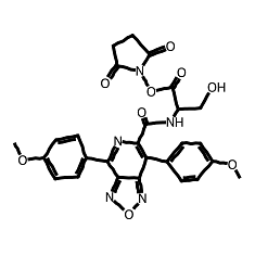 COc1ccc(-c2nc(C(=O)NC(CO)C(=O)ON3C(=O)CCC3=O)c(-c3ccc(OC)cc3)c3nonc23)cc1